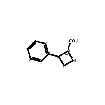 O=C(O)[C@H]1NCC1c1ccccc1